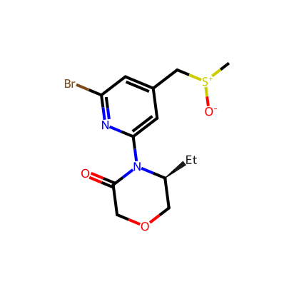 CC[C@H]1COCC(=O)N1c1cc(C[S+](C)[O-])cc(Br)n1